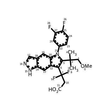 COCC(C)(C)c1c(C(F)(F)CC(=O)O)c2cc3[nH]ncc3cc2n1-c1ccc(F)c(F)c1